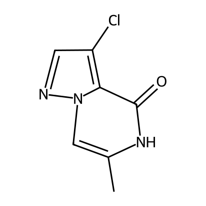 Cc1cn2ncc(Cl)c2c(=O)[nH]1